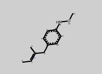 C/C=C(\C)Cc1ccc(NOC)cc1